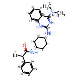 CCC(C(=O)N[C@H]1CC[C@@H](Nc2nc(N(C)C)c3ccccc3n2)CC1)c1ccccc1